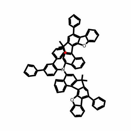 CC1(C)c2cc(N(c3ccc(-c4ccccc4)cc3-c3ccccc3)c3cc4c(c5ccccc35)-c3c(cc(-c5ccccc5)c5c3oc3ccccc35)C4(C)C)c3ccccc3c2-c2c1cc(-c1ccccc1)c1c2oc2ccccc21